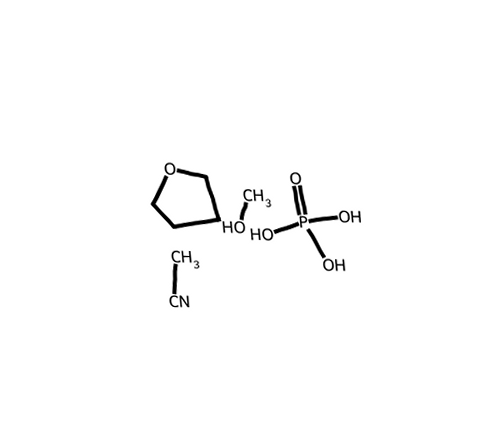 C1CCOC1.CC#N.CO.O=P(O)(O)O